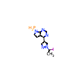 C=C(I)n1cc(-c2ncnc3c2ccn3P)cn1